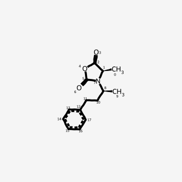 C[C@@H]1C(=O)OC(=O)N1[C@@H](C)CCc1ccccc1